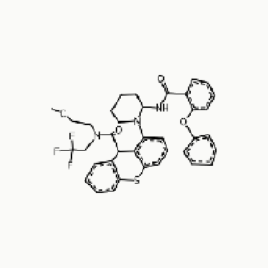 CCCCN(CC(F)(F)F)C(=O)C1c2ccccc2Sc2cccc(N3CCCCC3NC(=O)c3ccccc3Oc3ccccc3)c21